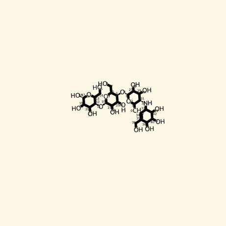 CC1O[C@H](O[C@@H]2C(CO)O[C@H](O[C@@H]3C(CO)O[C@@H](O)C(O)C3O)C(O)C2O)C(O)C(O)[C@@H]1NC1C=C(CO)C(O)C(O)C1O